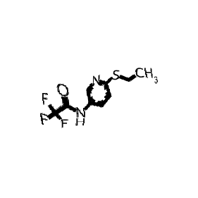 CCSc1ccc(NC(=O)C(F)(F)F)cn1